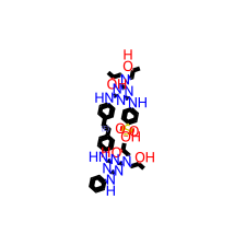 CC(O)CN(CC(C)O)c1nc(Nc2ccccc2)nc(Nc2ccc(/C=C/c3ccc(Nc4nc(Nc5ccc(S(=O)(=O)O)cc5)nc(N(CC(C)O)CC(C)O)n4)cc3)cc2)n1